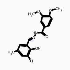 COc1ccc(C(=O)N/N=C/c2cc(C)cc(Cl)c2O)cc1OC